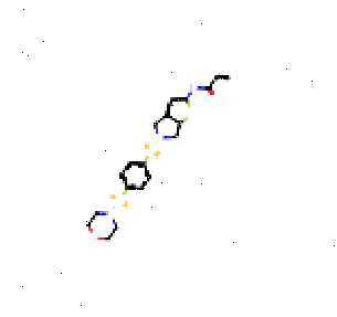 C=CC(=O)NC1CC2CN(S(=O)(=O)c3ccc(S(=O)(=O)N4CCOCC4)cc3)CC2S1